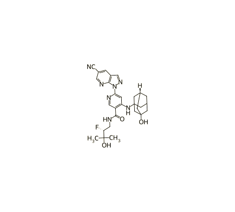 CC(C)(O)[C@H](F)CNC(=O)c1cnc(-n2ncc3cc(C#N)cnc32)cc1NC12CC3C[C@H](CC(O)(C3)C1)C2